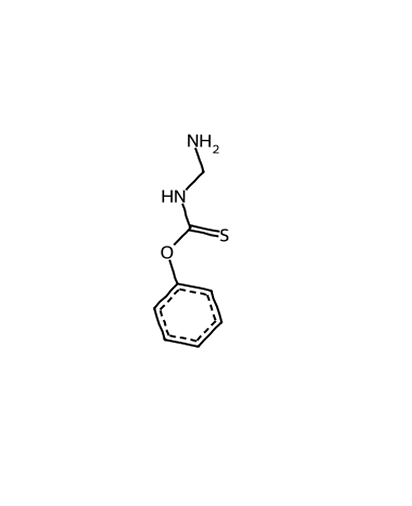 NCNC(=S)Oc1ccccc1